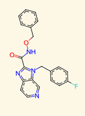 O=C(NOCc1ccccc1)c1nc2ccncc2n1Cc1ccc(F)cc1